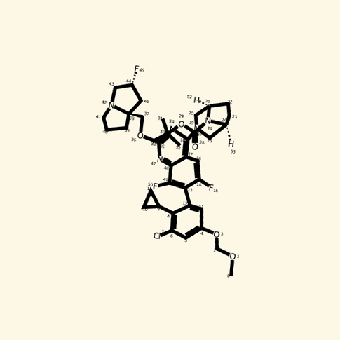 COCOc1cc(Cl)c(C2CC2)c(-c2c(F)cc3c(N4C[C@H]5CC[C@@H](C4)N5C(=O)OC(C)(C)C)nc(OC[C@@]45CCCN4C[C@H](F)C5)nc3c2F)c1